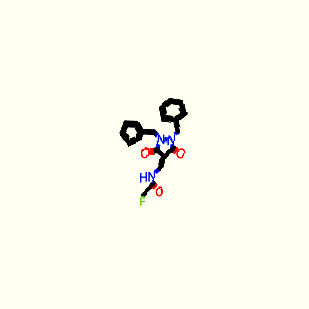 O=C(CF)NC=C1C(=O)N(Cc2ccccc2)N(Cc2ccccc2)C1=O